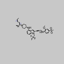 C=N/C(=C\C=C/C)N1CCC(Nc2cccc3c2cc(C#CCNc2ccc(S(C)(=O)=O)cc2OC)n3CC(F)(F)F)CC1